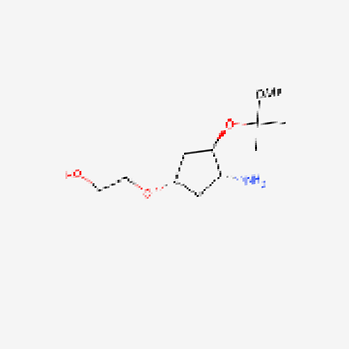 COC(C)(C)O[C@@H]1C[C@@H](OCCO)C[C@H]1N